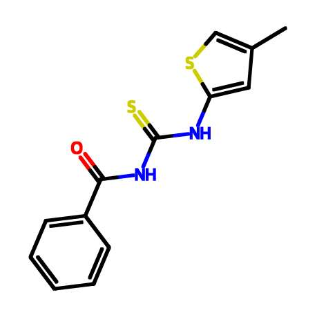 Cc1csc(NC(=S)NC(=O)c2ccccc2)c1